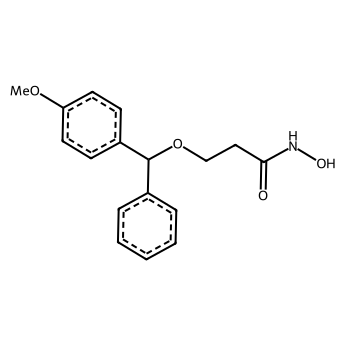 COc1ccc(C(OCCC(=O)NO)c2ccccc2)cc1